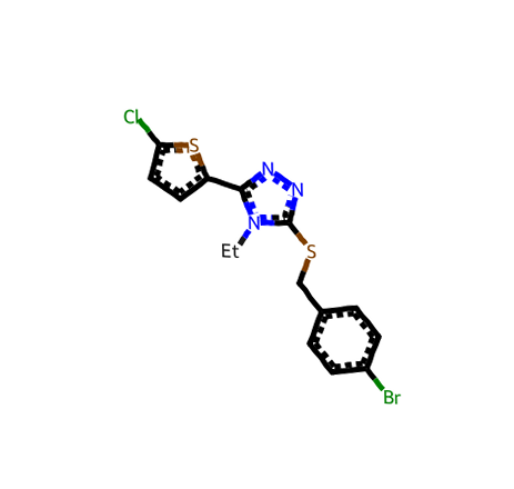 CCn1c(SCc2ccc(Br)cc2)nnc1-c1ccc(Cl)s1